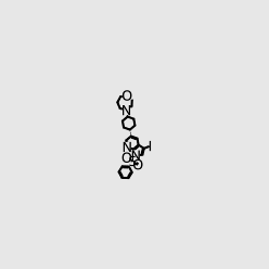 O=S(=O)(c1ccccc1)n1cc(I)c2cc([C@H]3CC[C@H](N4CCCOCC4)CC3)cnc21